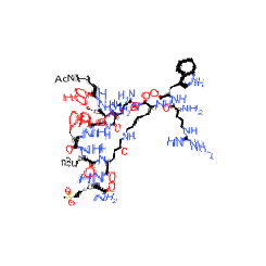 CCCC[C@H](NC(=O)[C@H](CO)NC(=O)[C@H](Cc1cnc[nH]1)NC(=O)[C@H](CCC(N)=O)NC(=O)[C@H](CO)NC(=O)CNC(C)=O)C(=O)N[C@@H](CCC(=O)CNCCCC[C@H](NC(=O)[C@H](Cc1c[nH]c2ccccc12)NC(=O)[C@@H](N)CCCNC(=N)N)C(N)=O)C(=O)N[C@@H](CCS(C)(=O)=O)C(N)=O